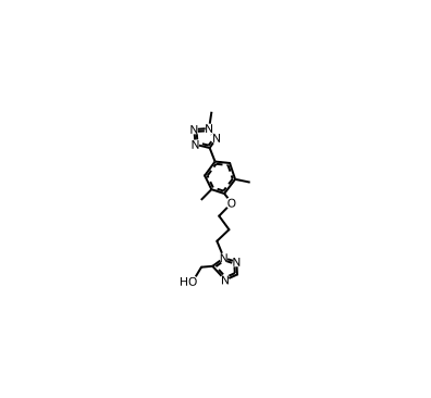 Cc1cc(-c2nnn(C)n2)cc(C)c1OCCCn1ncnc1CO